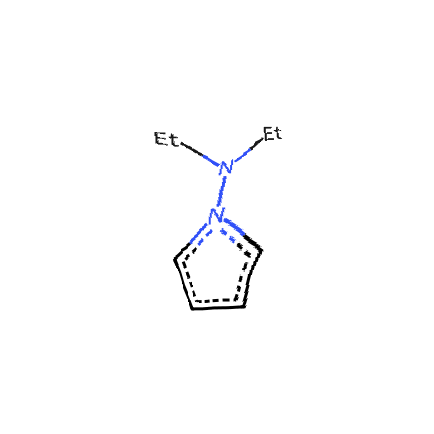 CCN(CC)n1cccc1